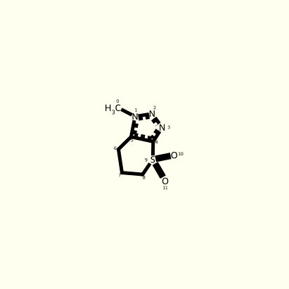 Cn1nnc2c1CCCS2(=O)=O